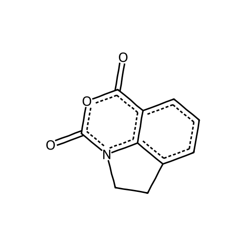 O=c1oc(=O)n2c3c(cccc13)CC2